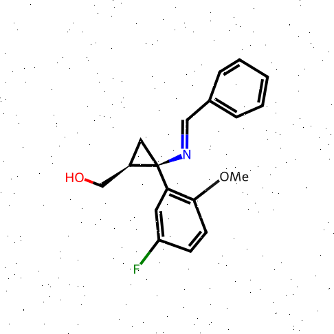 COc1ccc(F)cc1[C@@]1(N=Cc2ccccc2)C[C@@H]1CO